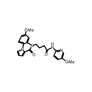 COc1ccc(NC(=O)CCCn2c(=O)c3cccn3c3ccc(OC)cc32)nc1